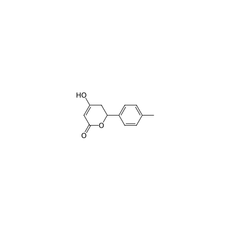 Cc1ccc(C2CC(O)=CC(=O)O2)cc1